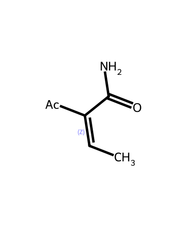 C/C=C(/C(C)=O)C(N)=O